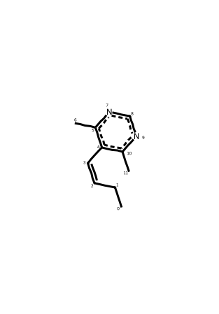 CC/C=C\c1c(C)ncnc1C